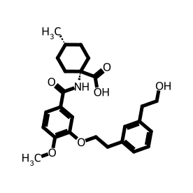 COc1ccc(C(=O)N[C@]2(C(=O)O)CC[C@H](C)CC2)cc1OCCc1cccc(CCO)c1